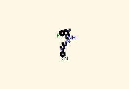 C=CC(/C=C/N(C)C(=N)/C=C\C(=C)/C(=C/C)C(=C)c1ccc(F)cc1)=C\C(=C/C)c1ccc(C#N)cc1